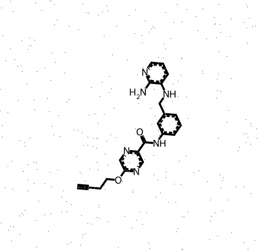 C#CCCOc1cnc(C(=O)Nc2cccc(CNc3cccnc3N)c2)cn1